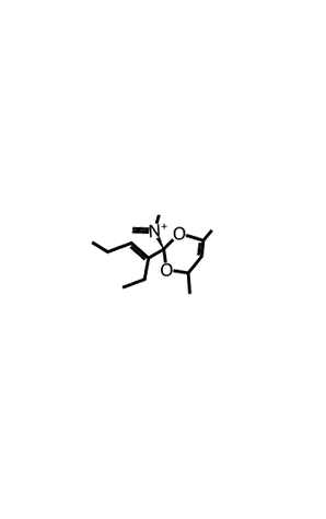 C=[N+](C)[C@@]1(/C(=C/CC)CC)OC(C)=CC(C)O1